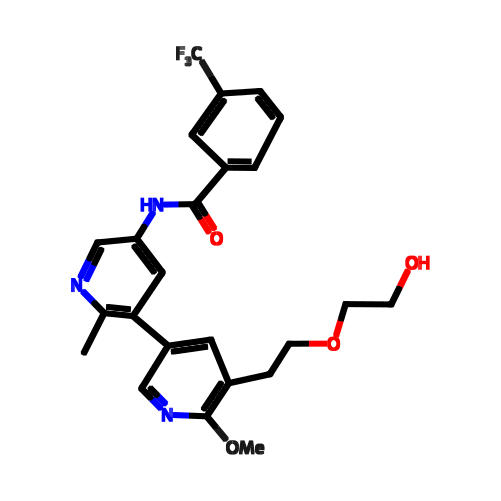 COc1ncc(-c2cc(NC(=O)c3cccc(C(F)(F)F)c3)cnc2C)cc1CCOCCO